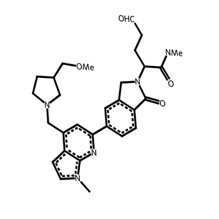 CNC(=O)C(CCC=O)N1Cc2cc(-c3cc(CN4CCC(COC)C4)c4ccn(C)c4n3)ccc2C1=O